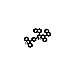 c1ccc2c(-c3cc4c(-c5cccc6ccccc56)cc(-c5ccc(-c6c7ccccc7nc7ccccc67)cc5)nc4c4ccccc34)cccc2c1